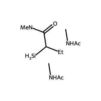 CCC([SiH3])C(=O)NC.CNC(C)=O.CNC(C)=O